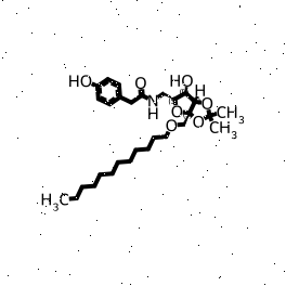 CCCCCCCCCCCCOC[C@@]12O[C@@H](CNC(=O)Cc3ccc(O)cc3)[C@@H](O)[C@@H]1OC(C)(C)O2